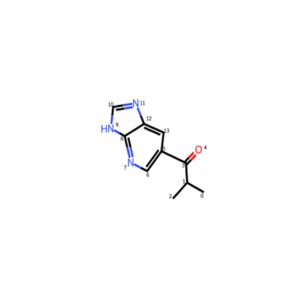 CC(C)C(=O)c1cnc2[nH]cnc2c1